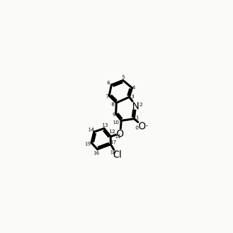 [O]c1nc2ccccc2cc1Oc1ccccc1Cl